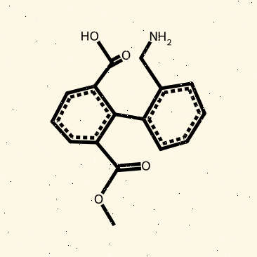 COC(=O)c1cccc(C(=O)O)c1-c1ccccc1CN